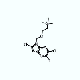 C[Si](C)(C)CCOCn1c(Cl)cc2nc(I)c(Cl)cc21